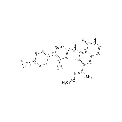 CO/N=C(\C)c1cc2cc[nH]c(=O)c2c(Nc2ccc(C3CCN(C4CC4)CC3)c(C)c2)n1